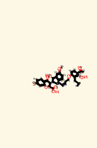 CCCc1c(OCC/C=C\C=C\[C@@H](c2c(C(=O)O)oc3c(c2=O)=CCC(=S)C=3)[C@@H](O)c2cccc(OC)c2)ccc(C(C)=O)c1O